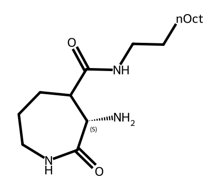 CCCCCCCCCCNC(=O)C1CCCNC(=O)[C@H]1N